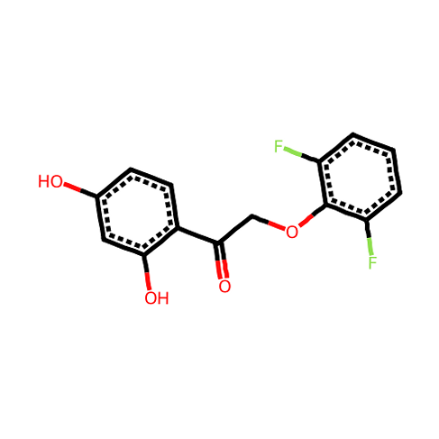 O=C(COc1c(F)cccc1F)c1ccc(O)cc1O